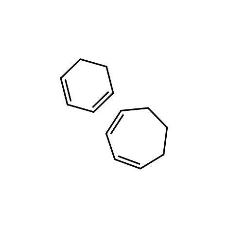 C1=CCCC=C1.C1=CCCCC=C1